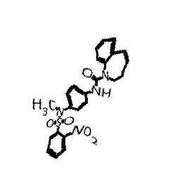 CN(c1ccc(NC(=O)N2CCCCc3ccccc32)cc1)S(=O)(=O)c1ccccc1[N+](=O)[O-]